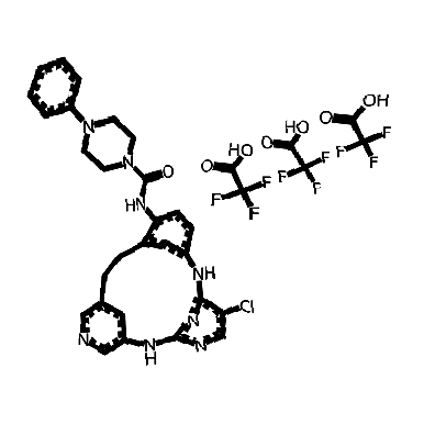 O=C(Nc1ccc2cc1CCc1cncc(c1)Nc1ncc(Cl)c(n1)N2)N1CCN(c2ccccc2)CC1.O=C(O)C(F)(F)F.O=C(O)C(F)(F)F.O=C(O)C(F)(F)F